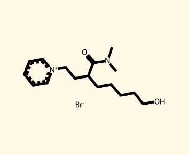 CN(C)C(=O)C(CCCCCO)CC[n+]1ccccc1.[Br-]